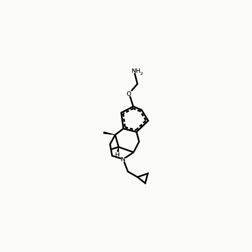 C[C@H]1C2Cc3ccc(OCN)cc3[C@@]1(C)CCN2CC1CC1